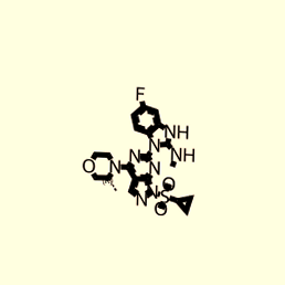 CNC1Nc2cc(F)ccc2N1c1nc(N2CCOC[C@H]2C)c2cnn(S(=O)(=O)C3CC3)c2n1